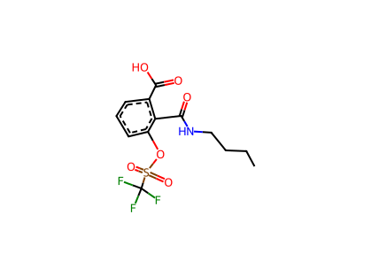 CCCCNC(=O)c1c(OS(=O)(=O)C(F)(F)F)cccc1C(=O)O